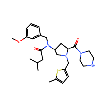 COc1cccc(CN(C(=O)CC(C)C)[C@H]2C[C@@H](C(=O)N3CCNCC3)N(Cc3ccc(C)s3)C2)c1